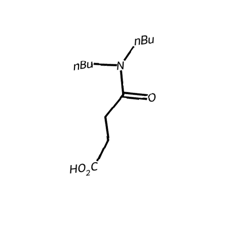 CCCCN(CCCC)C(=O)CCC(=O)O